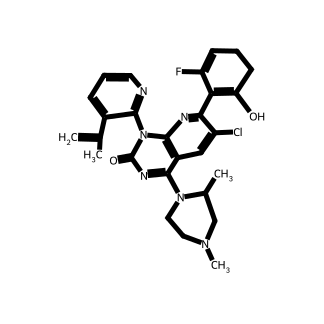 C=C(C)c1cccnc1-n1c(=O)nc(N2CCN(C)CC2C)c2cc(Cl)c(C3=C(O)CCC=C3F)nc21